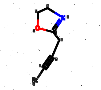 CCC#CCC1=NCCO1